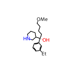 CCc1cccc([C@](O)(CCCCOC)C2CCCNC2)c1